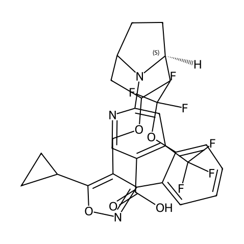 O=C(O)c1cnc(N2C3CC[C@H]2CC(OCc2c(-c4ccccc4OC(F)(F)F)noc2C2CC2)C3)cc1C(F)(F)F